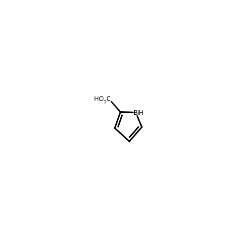 O=C(O)[C]1=CC=[CH][BiH]1